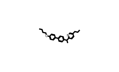 CCCCOc1ccc(-c2ccc(C(C)c3ccc(CCC)cn3)cc2)cc1